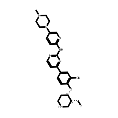 CN1CCN(c2ccc(Nc3nccc(-c4ccc(O[C@H]5CCNC[C@H]5CF)c(C#N)c4)n3)nc2)CC1